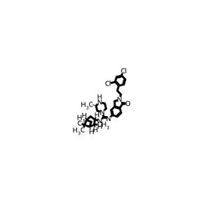 C[C@H]1[C@@H](NC(=Nc2ccc3c(c2)CN(CCc2ccc(Cl)cc2Cl)C3=O)N2CCN[C@@H](C)C2)C[C@@H]2C[C@@H]1C2(C)C